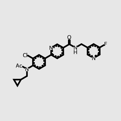 CC(=O)N(CC1CC1)c1ccc(-c2ccc(C(=O)NCc3cncc(F)c3)cn2)cc1Cl